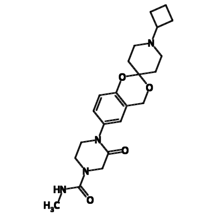 CNC(=O)N1CCN(c2ccc3c(c2)COC2(CCN(C4CCC4)CC2)O3)C(=O)C1